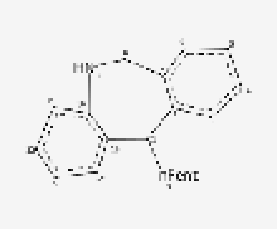 CCCCCC1c2ccccc2CNc2ccccc21